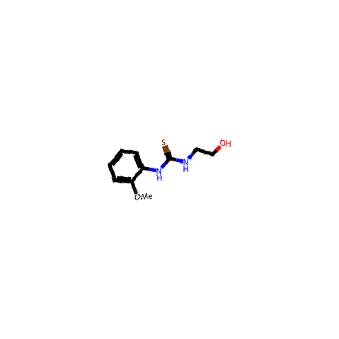 COc1ccccc1NC(=S)NCCO